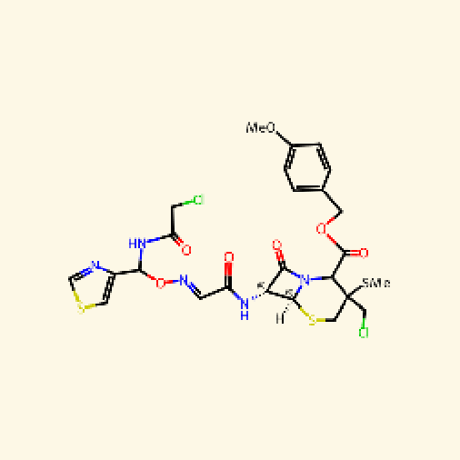 COc1ccc(COC(=O)C2N3C(=O)[C@@H](NC(=O)C=NOC(NC(=O)CCl)c4cscn4)[C@@H]3SCC2(CCl)SC)cc1